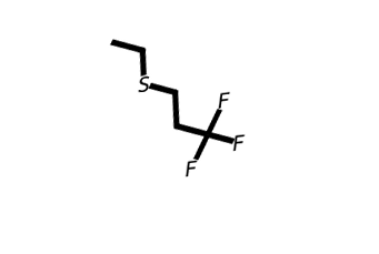 CCSCCC(F)(F)F